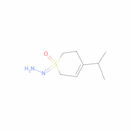 CC(C)C1=CCS(=O)(=NN)CC1